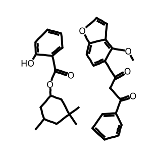 CC1CC(OC(=O)c2ccccc2O)CC(C)(C)C1.COc1c(C(=O)CC(=O)c2ccccc2)ccc2occc12